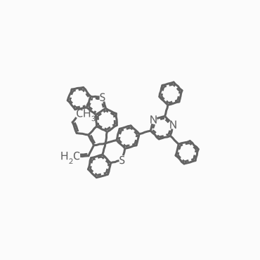 C=CC1=C(/C=C\C)c2c(ccc3sc4ccccc4c23)C12c1ccccc1Sc1cc(-c3cc(-c4ccccc4)nc(-c4ccccc4)n3)ccc12